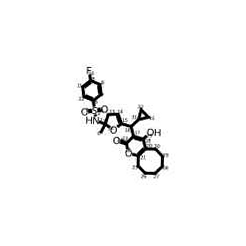 CC1(NS(=O)(=O)c2ccc(F)cc2)CC=C(C(c2c(O)c3c(oc2=O)CCCCCC3)C2CC2)O1